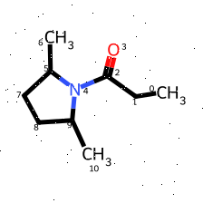 CCC(=O)N1C(C)CCC1C